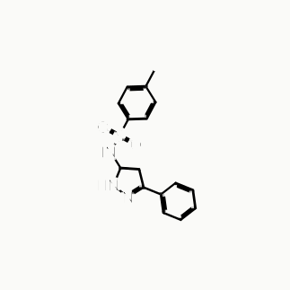 Cc1ccc(S(=O)(=O)NC2CC(c3ccccc3)=NN2)cc1